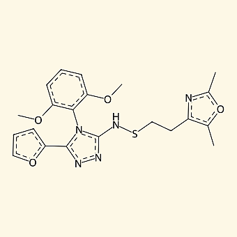 COc1cccc(OC)c1-n1c(NSCCc2nc(C)oc2C)nnc1-c1ccco1